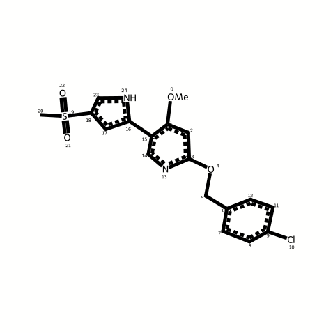 COc1cc(OCc2ccc(Cl)cc2)ncc1-c1cc(S(C)(=O)=O)c[nH]1